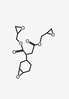 O=C(CC(C(=O)OCC1CO1)C1CCC2OC2C1)OCC1CO1